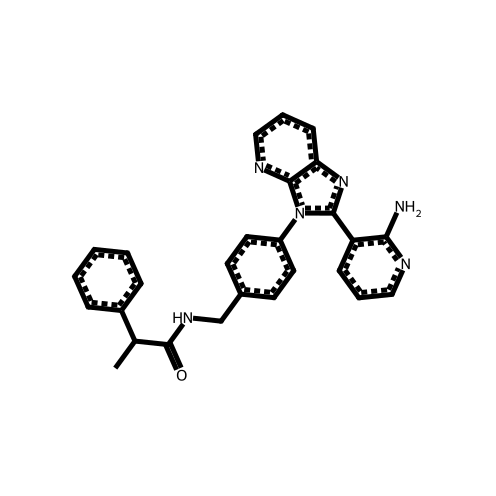 CC(C(=O)NCc1ccc(-n2c(-c3cccnc3N)nc3cccnc32)cc1)c1ccccc1